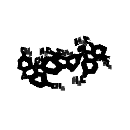 C=P1(c2ccc3c(c2)C(C)(C)c2cc(P(=O)(C4=C(C)CCC(C)=C4)c4cc(C)ccc4C)ccc2-3)c2cc(C)ccc2Oc2ccc(C)cc21